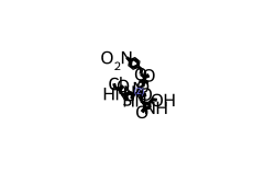 CC(C)(O/N=C(\C(=O)NC1C(=O)NC1CO)c1csc(NC(=O)CCl)n1)C(=O)OCc1ccc([N+](=O)[O-])cc1